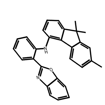 Cc1ccc2c(c1)C(C)(C)c1cccc(Nc3ccccc3-c3nc4ccccc4o3)c1-2